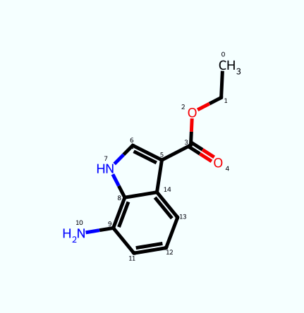 CCOC(=O)c1[c][nH]c2c(N)cccc12